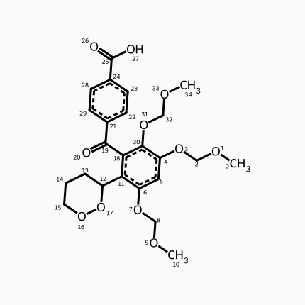 COCOc1cc(OCOC)c(C2CCCOO2)c(C(=O)c2ccc(C(=O)O)cc2)c1OCOC